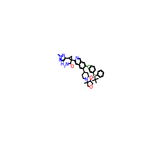 Cn1ncc(C2CC2(C(N)=O)c2cc3cc(C4CCN(C5(C)COCC5O[Si](c5ccccc5)(c5ccccc5)C(C)(C)C)CC4)c(Cl)cc3cn2)n1